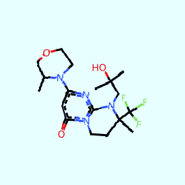 CC1COCCN1c1cc(=O)n2c(n1)N(CC(C)(C)O)C(C)(C(F)(F)F)CC2